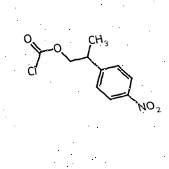 CC(COC(=O)Cl)c1ccc([N+](=O)[O-])cc1